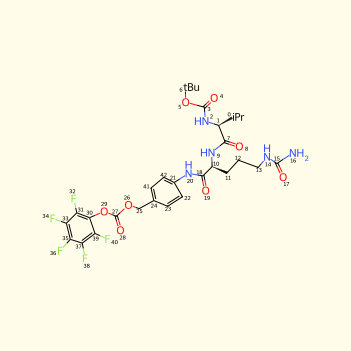 CC(C)[C@H](NC(=O)OC(C)(C)C)C(=O)N[C@@H](CCCNC(N)=O)C(=O)Nc1ccc(COC(=O)Oc2c(F)c(F)c(F)c(F)c2F)cc1